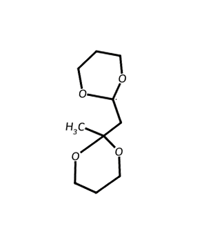 CC1(C[C]2OCCCO2)OCCCO1